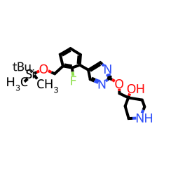 CC(C)(C)[Si](C)(C)OCc1cccc(-c2cnc(OCC3(O)CCNCC3)nc2)c1F